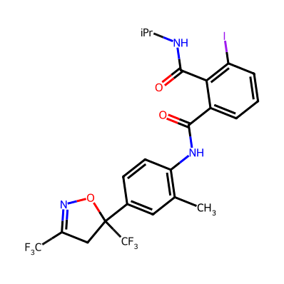 Cc1cc(C2(C(F)(F)F)CC(C(F)(F)F)=NO2)ccc1NC(=O)c1cccc(I)c1C(=O)NC(C)C